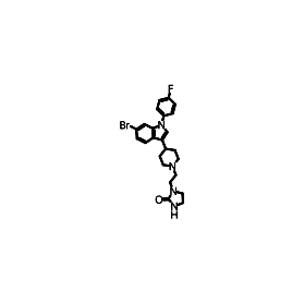 O=C1NCCN1CCN1CCC(c2cn(-c3ccc(F)cc3)c3cc(Br)ccc23)CC1